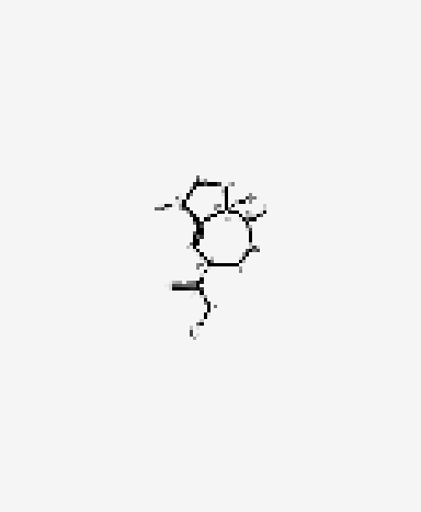 C=C(CO)[C@H]1C=C2[C@H](C)CC[C@@H]2C(C)CC1